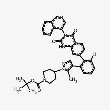 Cc1c(-c2cccc(Cl)c2-c2ccc3c(=O)n(-c4cncc5ccccc45)c(=O)[nH]c3c2)cnn1C1CCN(C(=O)OC(C)(C)C)CC1